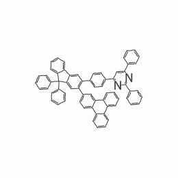 c1ccc(-c2cc(-c3ccc(-c4cc5c(cc4-c4ccc6c7ccccc7c7ccccc7c6c4)C(c4ccccc4)(c4ccccc4)c4ccccc4-5)cc3)nc(-c3ccccc3)n2)cc1